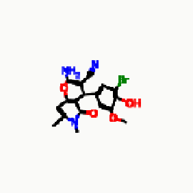 COc1cc(C2C(C#N)=C(N)Oc3cc(C)n(C)c(=O)c32)cc(Br)c1O